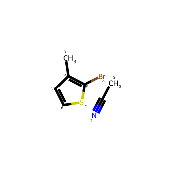 CC#N.Cc1ccsc1Br